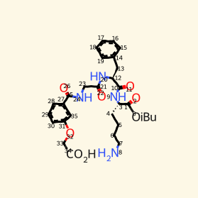 CC(C)COC(=O)[C@H](CCCCN)NC(=O)[C@H](Cc1ccccc1)NC(=O)CNC(=O)c1cccc(OCC(=O)O)c1